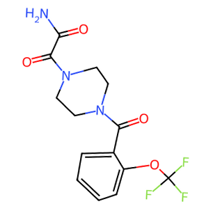 NC(=O)C(=O)N1CCN(C(=O)c2ccccc2OC(F)(F)F)CC1